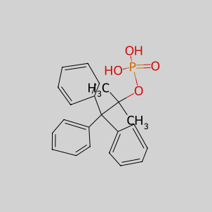 CC(C)(OP(=O)(O)O)C(c1ccccc1)(c1ccccc1)c1ccccc1